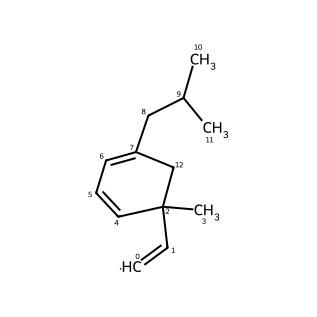 [CH]=CC1(C)C=CC=C(CC(C)C)C1